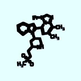 CC1=C(C)C2=NCN(C(C)C)N2C(c2cc3ccccc3n2C2CCNC(CCS(C)(=O)=O)C2)=C1